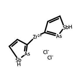 [CH]1=C[C]([Zr+2][C]2=[As][SbH][CH]=C2)=[As][SbH]1.[Cl-].[Cl-]